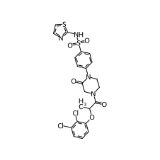 CC(Oc1cccc(Cl)c1Cl)C(=O)N1CCN(c2ccc(S(=O)(=O)Nc3nccs3)cc2)C(=O)C1